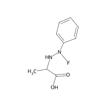 CC(NN(F)c1ccccc1)C(=O)O